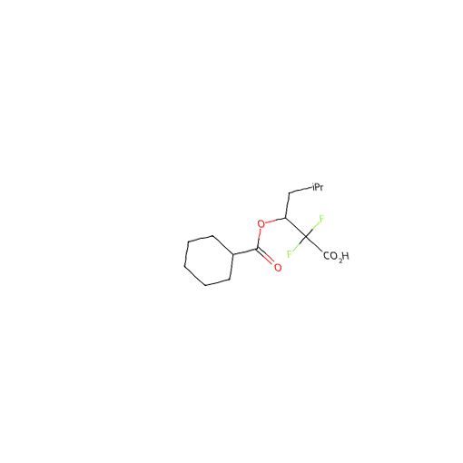 CC(C)CC(OC(=O)C1CCCCC1)C(F)(F)C(=O)O